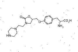 NC(Cc1ccc(OCC2CN(CCN3CCNCC3)C(=O)O2)cc1)C(=O)O